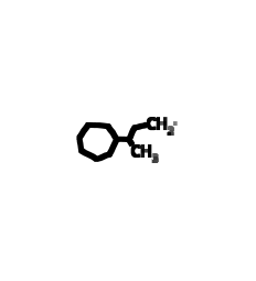 [CH2]CC(C)C1CCCCCC1